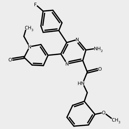 CCn1cc(-c2nc(C(=O)NCc3ccccc3OC)c(N)nc2-c2ccc(F)cc2)ccc1=O